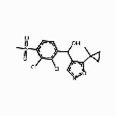 CC1(c2oncc2C(O)c2ccc(S(C)(=O)=O)c(Cl)c2Cl)CC1